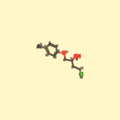 CC(=O)c1ccc(OCC(O)CCCl)cc1